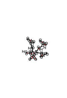 COc1ccc(C(OCC(OC(=O)CCC(=O)O)C(=O)N(CCCNC(=O)CCCCOC2OC(COC(C)=O)C(C)C(C)C2NC(C)=O)CCCN(CCCNC(=O)CCCCOC2OC(COC(C)=O)C(C)C(C)C2NC(C)=O)C(=O)CCCCOC2OC(COC(C)=O)C(C)C(C)C2NC(C)=O)(c2ccccc2)c2ccc(OC)cc2)cc1